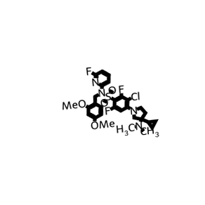 COc1ccc(CN(c2cccc(F)n2)S(=O)(=O)c2c(F)cc(N3CCC(C4CC4)(N(C)C)C3)c(Cl)c2F)c(OC)c1